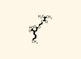 C=C(C)C(=O)OCCOC(=O)C/C(=C\C=C/CC)C(=O)O